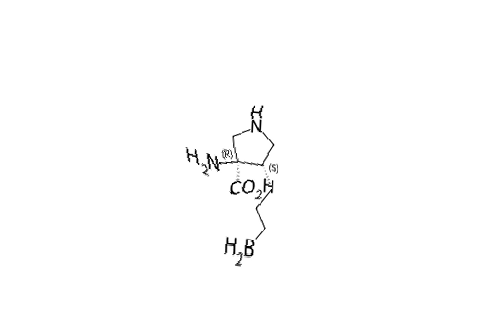 BCCC[C@H]1CNC[C@@]1(N)C(=O)O